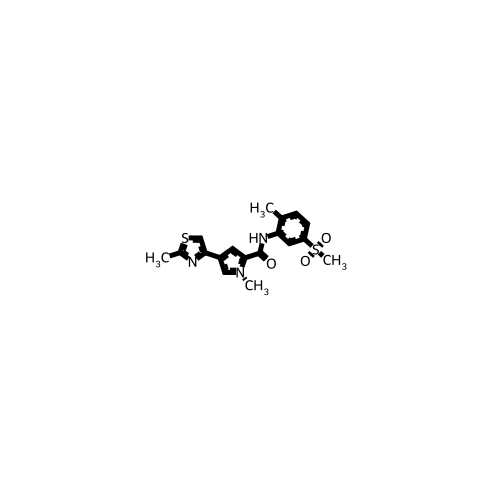 Cc1nc(-c2cc(C(=O)Nc3cc(S(C)(=O)=O)ccc3C)n(C)c2)cs1